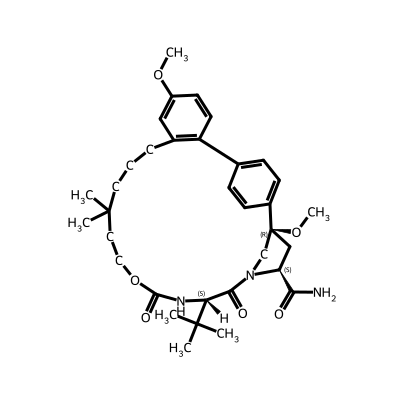 COc1ccc2c(c1)CCCC(C)(C)CCOC(=O)N[C@@H](C(C)(C)C)C(=O)N1C[C@@](OC)(C[C@H]1C(N)=O)c1ccc-2cc1